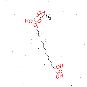 C[C@@H]1O[C@@H](OCCCCCCCCCCCCCC[C@@H](O)CC(=O)O)[C@H](O)C[C@H]1O